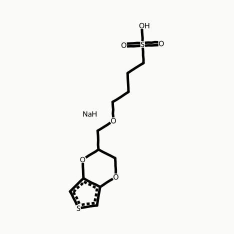 O=S(=O)(O)CCCCOCC1COc2cscc2O1.[NaH]